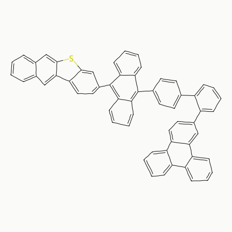 c1ccc(-c2ccc3c4ccccc4c4ccccc4c3c2)c(-c2ccc(-c3c4ccccc4c(-c4ccc5c(c4)sc4cc6ccccc6cc45)c4ccccc34)cc2)c1